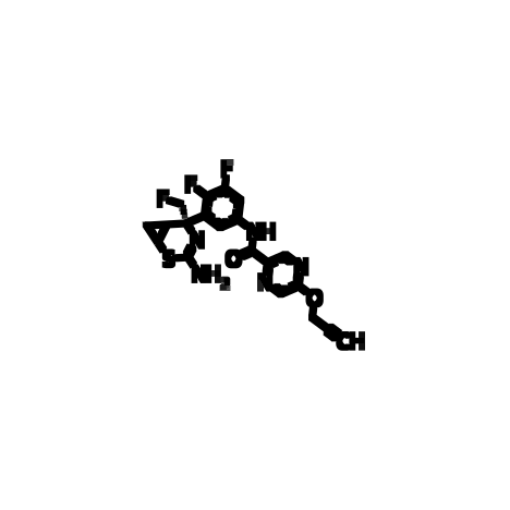 C#CCOc1cnc(C(=O)Nc2cc(F)c(F)c([C@@]3(CF)N=C(N)SC4CC43)c2)cn1